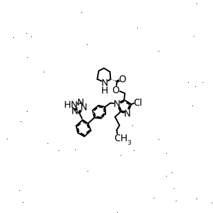 CCCCc1nc(Cl)c(COC(=O)[C@H]2CCCCN2)n1Cc1ccc(-c2ccccc2-c2nn[nH]n2)cc1